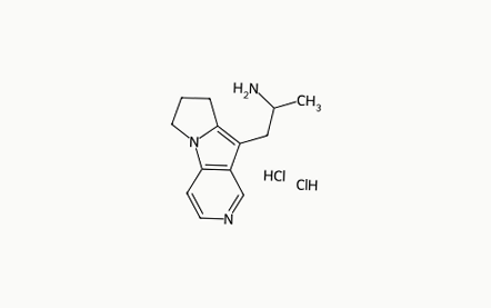 CC(N)Cc1c2n(c3ccncc13)CCC2.Cl.Cl